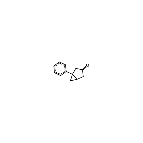 O=C1CC2CC2(c2ccccc2)C1